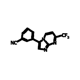 N#Cc1cccc(-c2cnc3nc(C(F)(F)F)ccn23)c1